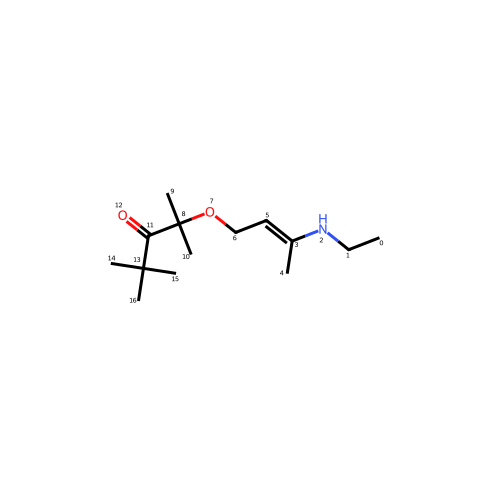 CCN/C(C)=C/COC(C)(C)C(=O)C(C)(C)C